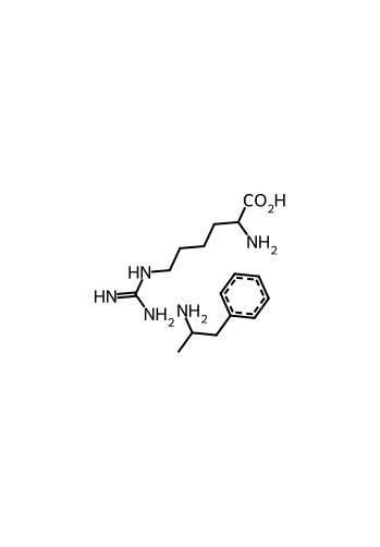 CC(N)Cc1ccccc1.N=C(N)NCCCCC(N)C(=O)O